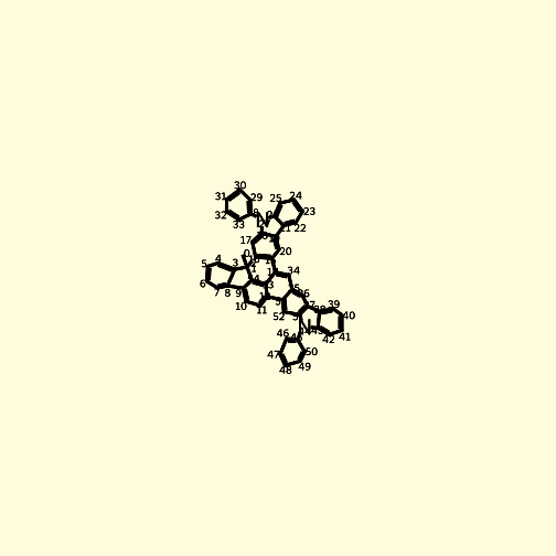 CC1(C)c2ccccc2-c2ccc3c(c(-c4ccc5c(c4)c4ccccc4n5-c4ccccc4)cc4cc5c6ccccc6n(-c6ccccc6)c5cc43)c21